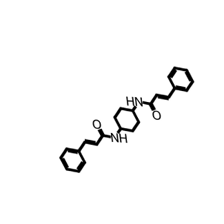 O=C(/C=C/c1ccccc1)NC1CCC(NC(=O)/C=C/c2ccccc2)CC1